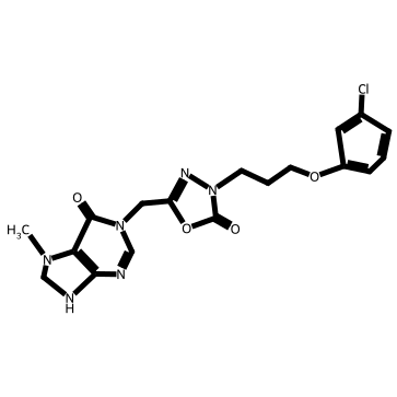 CN1CNc2ncn(Cc3nn(CCCOc4cccc(Cl)c4)c(=O)o3)c(=O)c21